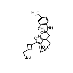 Cc1ccc(NC(=O)CC(CC(=O)O)c2noc(C3CC(CC(C)(C)C)C3)c2C2CC2)c(C)c1